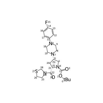 CC(C)(C)OC(=O)N1C[C@@H](N2CCN(c3ccc(F)cc3)CC2)C[C@H]1C(=O)N1CCSC1